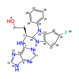 OCC[C@H](Nc1ncnc2[nH]cnc12)c1nc2ccc(F)cc2n1-c1ccccc1